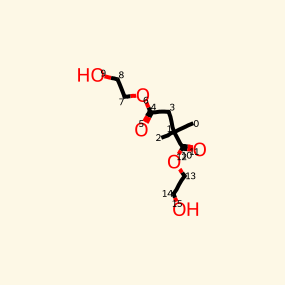 CC(C)(CC(=O)OCCO)C(=O)OCCO